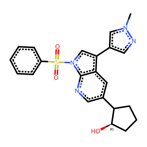 Cn1cc(-c2cn(S(=O)(=O)c3ccccc3)c3ncc(C4CCC[C@H]4O)cc23)cn1